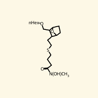 CCCCCCOCC1C2CCC(O2)C1CCSCCCC(=O)N(C)O